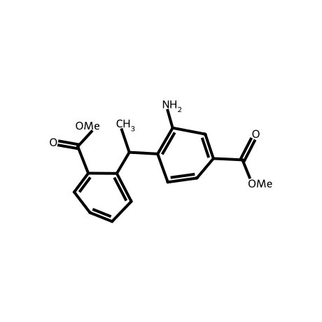 COC(=O)c1ccc(C(C)c2ccccc2C(=O)OC)c(N)c1